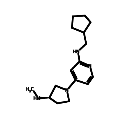 CN[C@@H]1CCN(c2ccnc(NCC3CCCC3)c2)C1